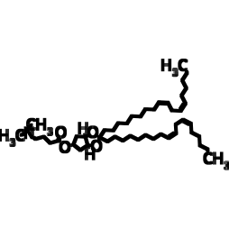 CCCCC/C=C\C/C=C\CCCCCCCCC1(CCCCCCCC/C=C\C/C=C\CCCCC)O[C@H]2C[C@H](OC(=O)CCCN(C)C)C[C@H]2O1